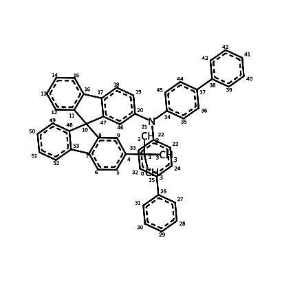 CC(C)(C)c1ccc2c(c1)C1(c3ccccc3-c3ccc(N(c4ccc(-c5ccccc5)cc4)c4ccc(-c5ccccc5)cc4)cc31)c1ccccc1-2